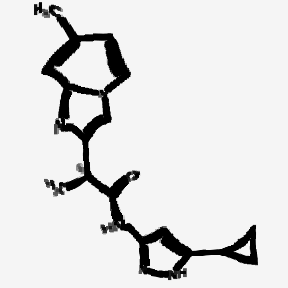 Cc1ccn2cc([C@H](C)C(=O)Nc3cc(C4CC4)[nH]n3)nc2c1